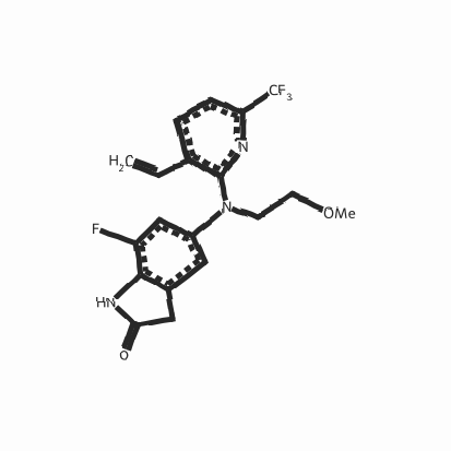 C=Cc1ccc(C(F)(F)F)nc1N(CCOC)c1cc(F)c2c(c1)CC(=O)N2